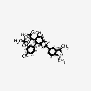 Cc1cc2nc(-c3ccc4c(c3)c(C)nn4C)sc2c(-c2ccc(Cl)cc2)c1C(OC(C)(C)C)C(=O)O